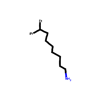 CCC(CCCCCCCN)C(C)C